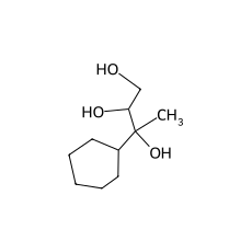 CC(O)(C(O)CO)C1CCCCC1